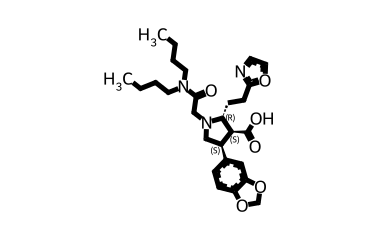 CCCCN(CCCC)C(=O)CN1C[C@H](c2ccc3c(c2)OCO3)[C@H](C(=O)O)[C@H]1CCc1ncco1